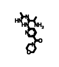 CC(=N)/N=C(\Nc1ccc(C(=O)N2CCOCC2)cn1)C(C)N